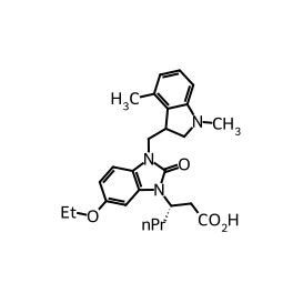 CCC[C@@H](CC(=O)O)n1c(=O)n(CC2CN(C)c3cccc(C)c32)c2ccc(OCC)cc21